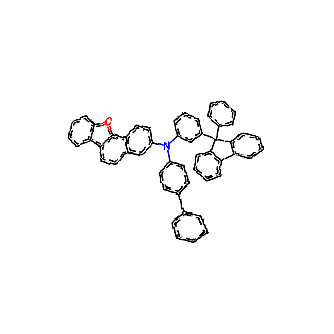 c1ccc(-c2ccc(N(c3cccc(C4(c5ccccc5)c5ccccc5-c5ccccc54)c3)c3ccc4c(ccc5c6ccccc6oc45)c3)cc2)cc1